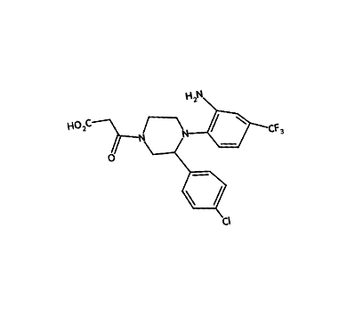 Nc1cc(C(F)(F)F)ccc1N1CCN(C(=O)CC(=O)O)CC1c1ccc(Cl)cc1